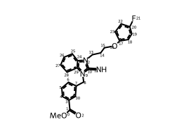 COC(=O)c1cccc(Cn2c(=N)n(CCCOc3ccc(F)cc3)c3ccccc32)c1